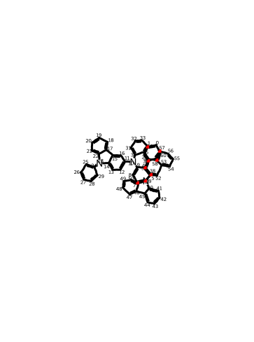 c1ccc(-c2ccccc2N(c2ccc3c(c2)c2ccccc2n3-c2ccccc2)c2ccccc2-c2cc(-n3c4ccccc4c4ccccc43)cc3ccccc23)cc1